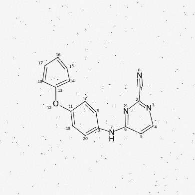 N#Cc1nccc(Nc2ccc(Oc3ccccc3)cc2)n1